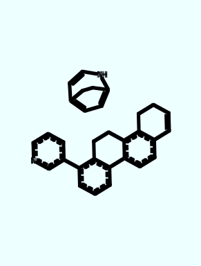 C1=CC2=CC=C(CC2)N1.C1=Cc2ccc3c(c2CC1)CCc1c(-c2cccnc2)cccc1-3